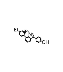 CCc1ccc(-c2cccc3c(-c4ccc(O)cc4)nn(C(C)C)c23)cc1